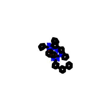 c1ccc(-c2cccc(-c3cccc(-c4nc(-c5ccccc5)nc(-n5c6ccccc6c6ccc7c8ccccc8n(-c8ccccc8-c8nc(-c9ccccc9)nc(-c9ccccc9)n8)c7c65)n4)c3)c2)cc1